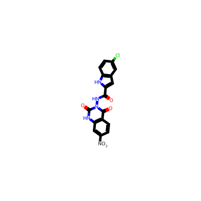 O=C(Nn1c(=O)[nH]c2cc([N+](=O)[O-])ccc2c1=O)c1cc2cc(Cl)ccc2[nH]1